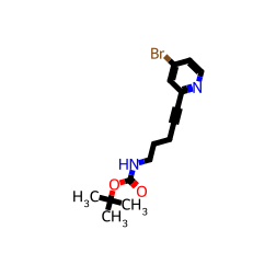 CC(C)(C)OC(=O)NCCCC#Cc1cc(Br)ccn1